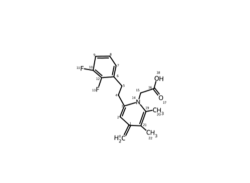 C=C1C=C(CCc2cccc(F)c2F)N(CC(=O)O)C(C)=C1C